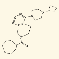 O=C(C1CCCCCC1)N1CCc2c(ncnc2N2CCN(C3CCC3)CC2)C1